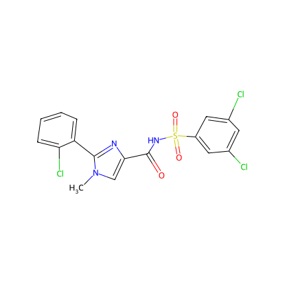 Cn1cc(C(=O)NS(=O)(=O)c2cc(Cl)cc(Cl)c2)nc1-c1ccccc1Cl